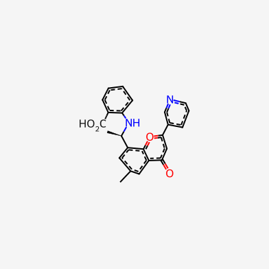 Cc1cc([C@@H](C)Nc2ccccc2C(=O)O)c2oc(-c3cccnc3)cc(=O)c2c1